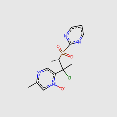 Cc1c[n+]([O-])c(C(C)(Cl)[C@H](C)S(=O)(=O)c2ncccn2)cn1